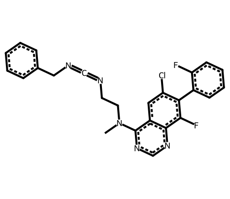 CN(CCN=C=NCc1ccccc1)c1ncnc2c(F)c(-c3ccccc3F)c(Cl)cc12